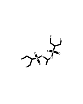 CC(OS(=O)(=O)C(CF)CF)OS(=O)(=O)C(CF)CF